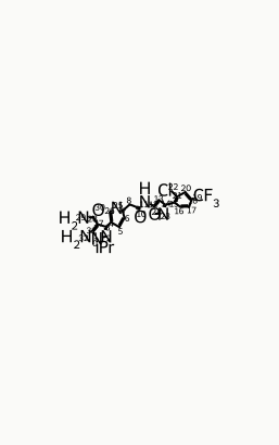 CC(C)n1nc(-c2ccc(CC(=O)Nc3cc(-c4ccc(C(F)(F)F)cc4Cl)no3)nc2)c(C(N)=O)c1N